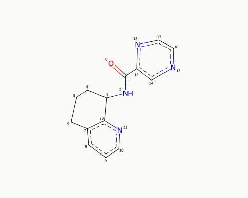 O=C(NC1CCCc2cccnc21)c1cnccn1